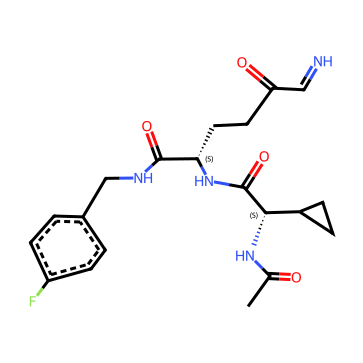 CC(=O)N[C@H](C(=O)N[C@@H](CCC(=O)C=N)C(=O)NCc1ccc(F)cc1)C1CC1